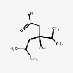 CC(C)CC(O)(CS(=O)O)C(C)C